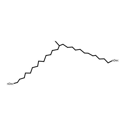 [CH2]C(CCCCCCCCCCCCCCCCCCCCCC)CCCCCCCCCCCCCCCCCCCCCCC